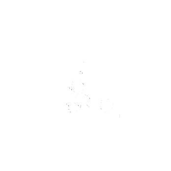 CC(C)Cc1cn2c(=O)n(Cc3ccc(Cl)cc3)c3cc(N4CC5(COC5)C4)cnc3c2n1